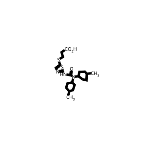 CC1CCC(N(C(=O)Nc2ncc(SCCC(=O)O)s2)C2CCC(C)CC2)CC1